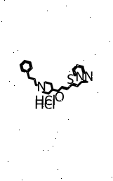 Cl.Cl.O=C(C=CC1=Cc2cnc3cccc(n23)S1)C1CCN(CCCc2ccccc2)CC1